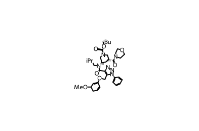 COC1C=C(OCc2c(C(=O)N(CC(C)C)[C@H]3C[C@@H](C(=O)N4CCOCC4)CN(C(=O)OC(C)(C)C)C3)nnn2-c2ccccc2)C=CC1